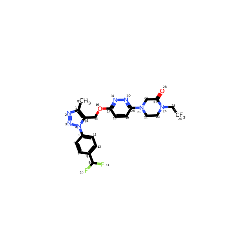 Cc1nnn(-c2ccc(C(F)F)cc2)c1COc1ccc(N2CCN(CC(F)(F)F)C(=O)C2)nn1